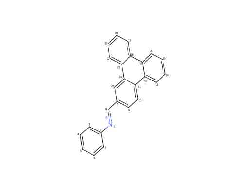 C(=N\c1ccccc1)/c1ccc2c3ccccc3c3ccccc3c2c1